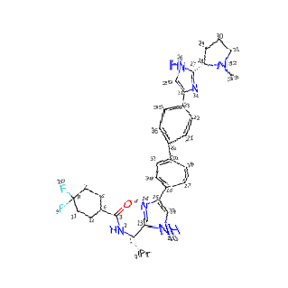 CC(C)[C@H](NC(=O)C1CCC(F)(F)CC1)c1nc(-c2ccc(-c3ccc(-c4c[nH]c([C@@H]5CCCN5C)n4)cc3)cc2)c[nH]1